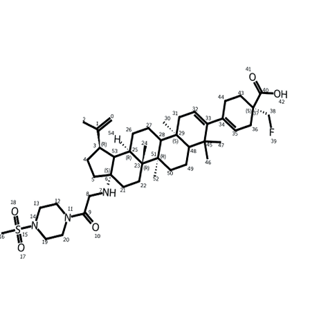 C=C(C)[C@@H]1CC[C@]2(NCC(=O)N3CCN(S(C)(=O)=O)CC3)CC[C@]3(C)[C@H](CCC4[C@@]5(C)CC=C(C6=CC[C@](CF)(C(=O)O)CC6)C(C)(C)C5CC[C@]43C)C12